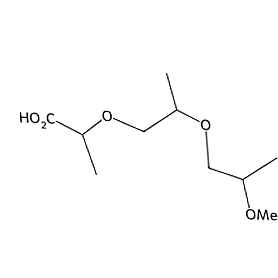 COC(C)COC(C)COC(C)C(=O)O